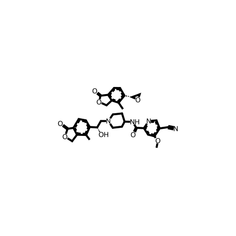 COc1cc(C(=O)NC2CCN(C[C@H](O)c3ccc4c(c3C)COC4=O)CC2)ncc1C#N.Cc1c([C@@H]2CO2)ccc2c1COC2=O